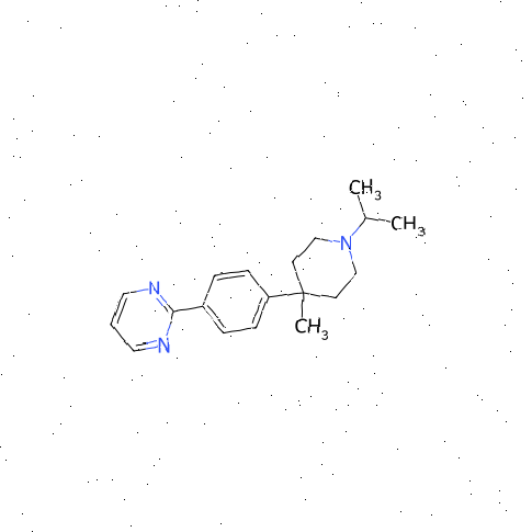 CC(C)N1CCC(C)(c2ccc(-c3ncccn3)cc2)CC1